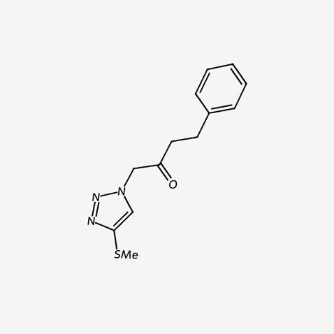 CSc1cn(CC(=O)CCc2ccccc2)nn1